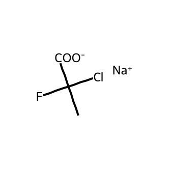 CC(F)(Cl)C(=O)[O-].[Na+]